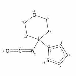 O=C=NC1(c2cccs2)CCOCC1